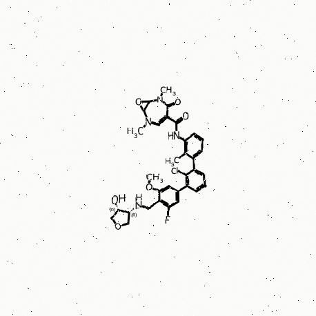 COc1cc(-c2cccc(-c3cccc(NC(=O)C4=CN(C)C5OC5N(C)C4=O)c3C)c2Cl)cc(F)c1CN[C@@H]1COC[C@@H]1O